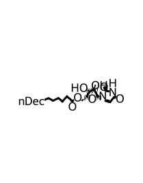 CCCCCCCCCCCCCCCC(=O)OC[C@H]1O[C@@H](n2ccc(=O)[nH]c2=O)[C@H](O)[C@@H]1O